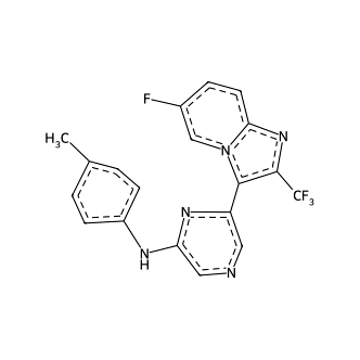 Cc1ccc(Nc2cncc(-c3c(C(F)(F)F)nc4ccc(F)cn34)n2)cc1